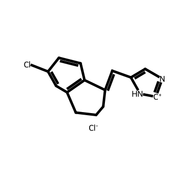 Clc1ccc2c(c1)CCCC2=CC1=CN=[C+]N1.[Cl-]